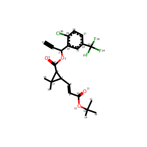 C#CC(OC(=O)C1C(C=CC(=O)OC(C)(C)C)C1(C)C)c1cc(C(F)(F)F)ccc1Cl